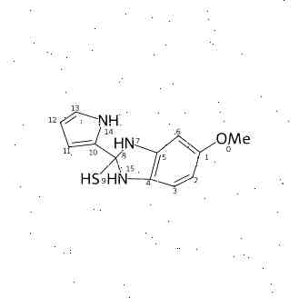 COc1ccc2c(c1)NC(S)(c1ccc[nH]1)N2